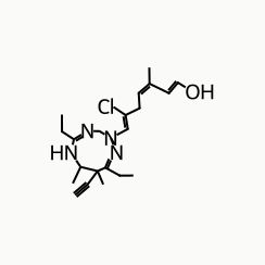 C#CC1(C)/C(CC)=N\N(/C=C(\Cl)C/C=C(C)\C=C\O)C/N=C(/CC)NC1C